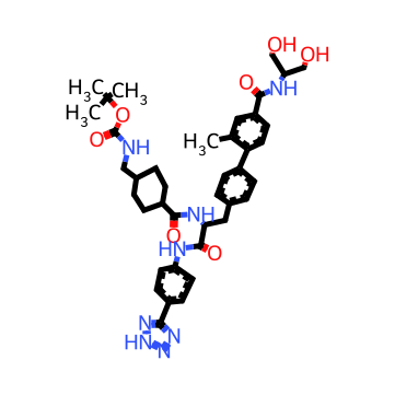 Cc1cc(C(=O)NC(CO)CO)ccc1-c1ccc(CC(NC(=O)C2CCC(CNC(=O)OC(C)(C)C)CC2)C(=O)Nc2ccc(-c3nn[nH]n3)cc2)cc1